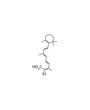 CCC(C(=O)O)=C(C)C=CC=C(C)C=CC1=C(C)CCCC1(C)C